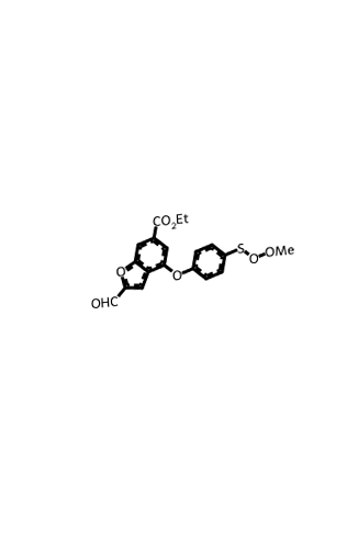 CCOC(=O)c1cc(Oc2ccc(SOOC)cc2)c2cc(C=O)oc2c1